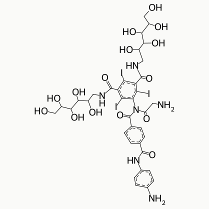 NCC(=O)N(C(=O)c1ccc(C(=O)Nc2ccc(N)cc2)cc1)c1c(I)c(C(=O)NCC(O)C(O)C(O)C(O)CO)c(I)c(C(=O)NCC(O)C(O)C(O)C(O)CO)c1I